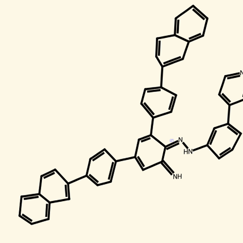 N=C1C=C(c2ccc(-c3ccc4ccccc4c3)cc2)C=C(c2ccc(-c3ccc4ccccc4c3)cc2)/C1=N/Nc1cccc(-c2ccncc2)c1